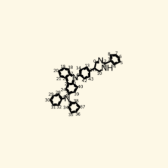 C1=NC(c2ccccc2)NCC1c1ccc(-n2c3ccccc3c3cc(N(c4ccccc4)c4ccccc4)ccc32)cc1